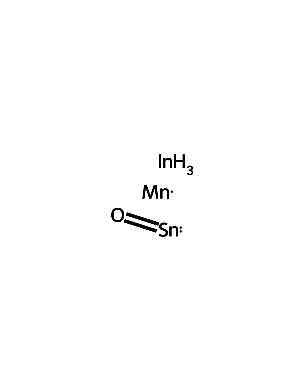 [InH3].[Mn].[O]=[Sn]